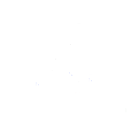 COc1ccc(C2CN(CCF)CCC2NC(=O)Nc2ccc(Cl)cc2)cc1